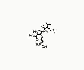 CC(C)C(N)C(=O)N[C@H]1CN[C@H](C(=O)O)[C@@H]1CCCB(O)O